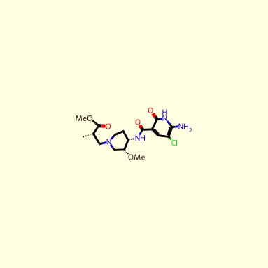 COC(=O)[C@@H](C)CN1CC[C@H](NC(=O)c2cc(Cl)c(N)[nH]c2=O)[C@H](OC)C1